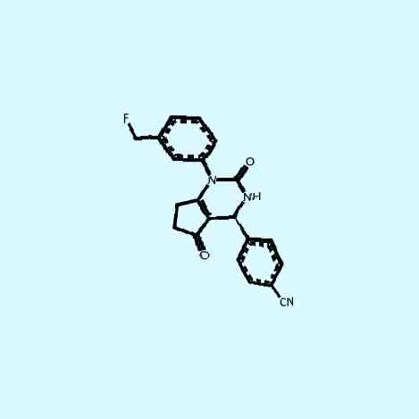 N#Cc1ccc([C@@H]2NC(=O)N(c3cccc(CF)c3)C3=C2C(=O)CC3)cc1